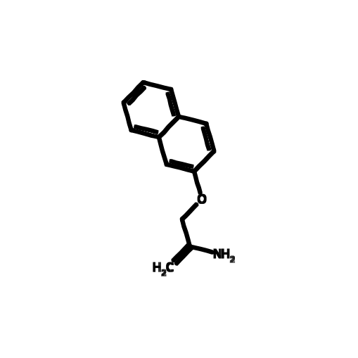 C=C(N)COc1ccc2ccccc2c1